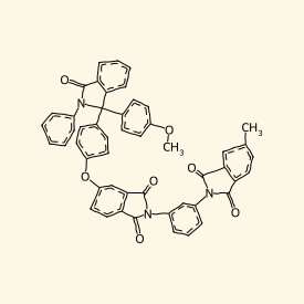 COc1ccc(C2(c3ccc(Oc4ccc5c(c4)C(=O)N(c4cccc(N6C(=O)c7ccc(C)cc7C6=O)c4)C5=O)cc3)c3ccccc3C(=O)N2c2ccccc2)cc1